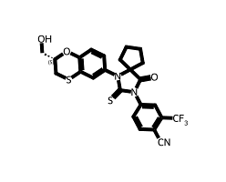 N#Cc1ccc(N2C(=O)C3(CCCC3)N(c3ccc4c(c3)SC[C@H](CO)O4)C2=S)cc1C(F)(F)F